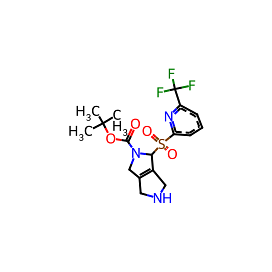 CC(C)(C)OC(=O)N1CC2=C(CNC2)C1S(=O)(=O)c1cccc(C(F)(F)F)n1